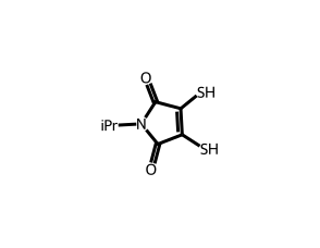 CC(C)N1C(=O)C(S)=C(S)C1=O